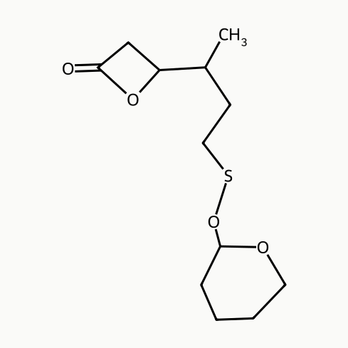 CC(CCSOC1CCCCO1)C1CC(=O)O1